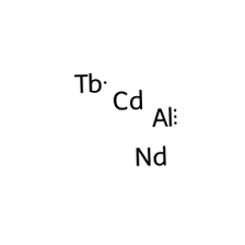 [Al].[Cd].[Nd].[Tb]